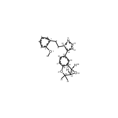 COc1ccccc1CCn1nnnc1-c1ccc2c(c1)[C@@H]1O[C@@H]1C(C)(C)O2